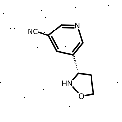 N#Cc1cncc([C@@H]2CCON2)c1